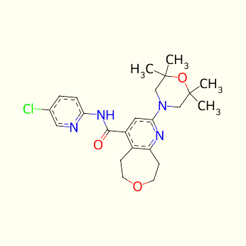 CC1(C)CN(c2cc(C(=O)Nc3ccc(Cl)cn3)c3c(n2)CCOCC3)CC(C)(C)O1